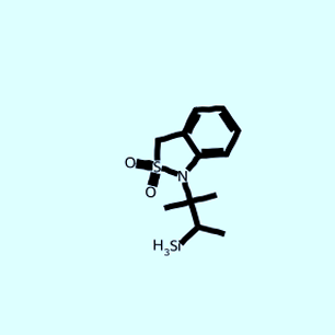 CC([SiH3])C(C)(C)N1c2ccccc2CS1(=O)=O